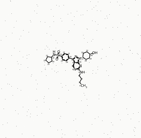 CCCCNc1ncc2c(-c3ccc(S(=O)(=O)NC4CCCC4)cc3)nn([C@H]3CC[C@H](O)CC3)c2n1